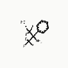 Cl.NC(c1ccccc1)(C(F)(F)F)C(F)(F)F